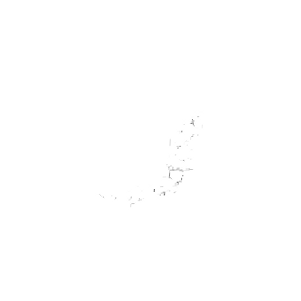 C=CCOC1CCC(OCC(F)(F)Oc2cc(F)c(C3CCC(C4CC=C(C(F)(F)F)CC4)C(F)C3)c(F)c2)CC1